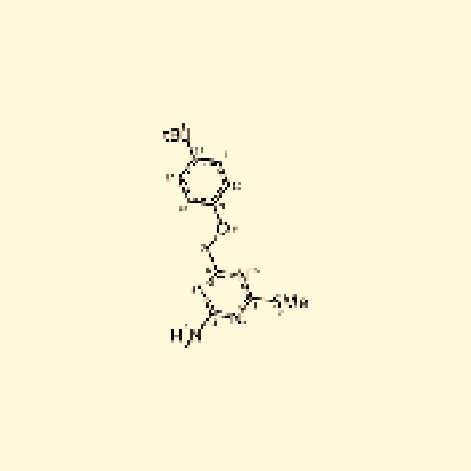 CSc1nc(N)nc(COc2ccc(C(C)(C)C)cc2)n1